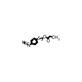 CCC(=O)OSSc1ccc(N=[N+]=[N-])cc1